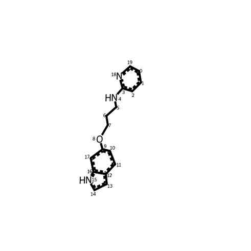 c1ccc(NCCCOc2ccc3cc[nH]c3c2)nc1